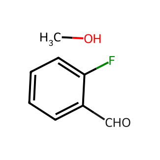 CO.O=Cc1ccccc1F